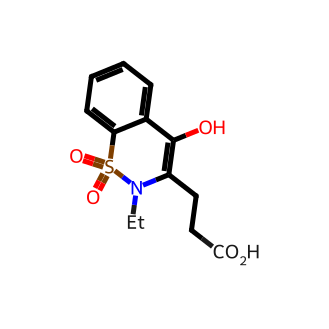 CCN1C(CCC(=O)O)=C(O)c2ccccc2S1(=O)=O